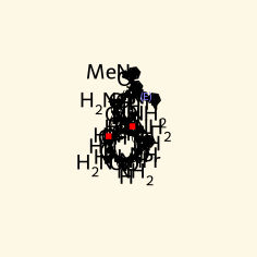 CNC(=O)c1ccccc1Sc1ccc2c(/C=C/c3ccccn3)nn(S[C@H](C)COC(=O)N[C@@H](CCN)C(=O)N[C@H](C(=O)N[C@@H](CCN)C(=O)N[C@H]3CCNC(=O)[C@H]([C@@H](C)O)NC(=O)[C@H](CCN)NC(=O)[C@H](CCN)NC(=O)[C@H](CC(C)C)NC(=O)[C@@H](Cc4ccccc4)NC(=O)[C@H](CCN)NC3=O)[C@@H](C)O)c2c1